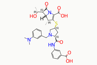 C[C@@H](O)[C@H]1C(=O)N2C(C(=O)O)=C(S[C@H]3C[C@@H](C(=O)Nc4cccc(C(=O)O)c4)N(Cc4cccc(N(C)C)c4)C3)[C@H](C)[C@H]12